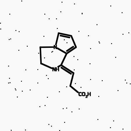 O=C(O)CC=C1NCCn2cccc21